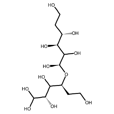 OCC[C@H](O[C@@H](O)C(O)[C@@H](O)[C@@H](O)CCO)C(O)[C@H](O)C(O)O